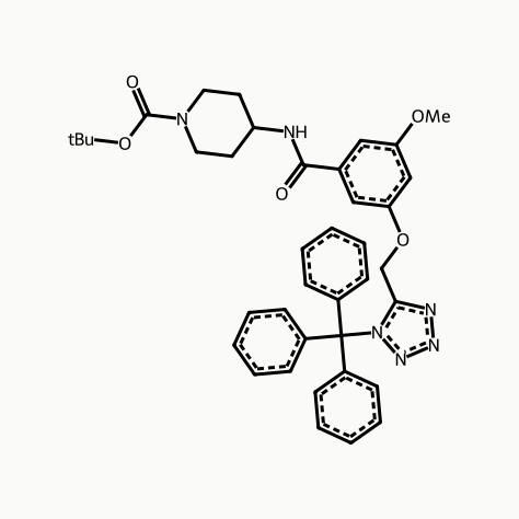 COc1cc(OCc2nnnn2C(c2ccccc2)(c2ccccc2)c2ccccc2)cc(C(=O)NC2CCN(C(=O)OC(C)(C)C)CC2)c1